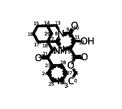 CCOC(=O)c1nc2n(c(=O)c1O)CC1CCCC2(C(=N)C(=O)c2ccccc2)C1